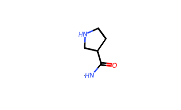 [NH]C(=O)C1CCNC1